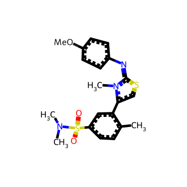 COc1ccc(N=c2scc(-c3cc(S(=O)(=O)N(C)C)ccc3C)n2C)cc1